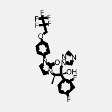 C[C@@H](n1ccn(-c2ccc(OCC(F)(F)C(F)(F)F)cc2)c1=O)[C@](O)(Cn1cncn1)c1ccc(F)cc1F